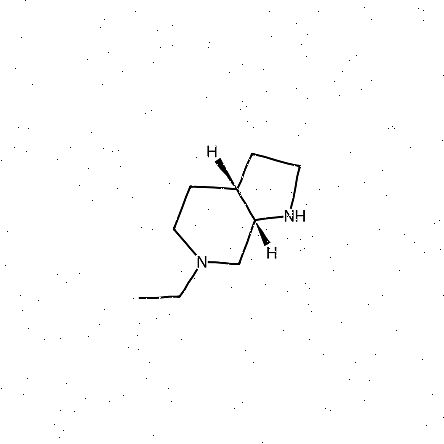 CCN1CC[C@@H]2CCN[C@@H]2C1